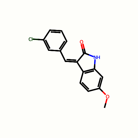 COc1ccc2c(c1)NC(=O)C2=Cc1cccc(Cl)c1